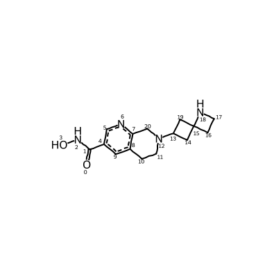 O=C(NO)c1cnc2c(c1)CCN(C1CC3(CCN3)C1)C2